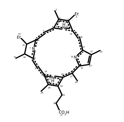 CCc1c(C)c2cc3nc(cc4[nH]c(c(C)c5nc(cc1[nH]2)C(C)=C5)c(CCC(=O)O)c4C)C(C)C3CC